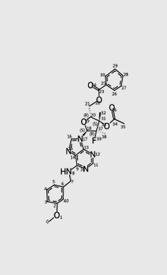 COc1cccc(CNc2ncnc3c2ncn3[C@H]2O[C@H](COC(=O)c3ccccc3)[C@](C)(OC(C)=O)[C@@]2(C)F)c1